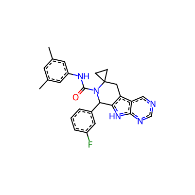 Cc1cc(C)cc(NC(=O)N2C(c3cccc(F)c3)c3[nH]c4ncncc4c3CC23CC3)c1